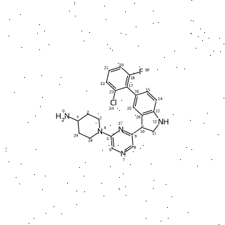 NC1CCN(c2cncc(C3CNc4ccc(-c5c(F)cccc5Cl)cc43)n2)CC1